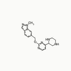 Cn1ncc2ccc(COc3nccc(C4CNCCN4)n3)cc21